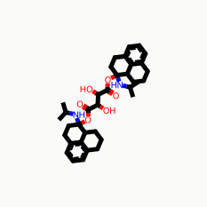 CC(C)NC1(OC(=O)C(O)C(O)C(=O)OC2(NC(C)C)CCc3cccc4c3C2CCC4)CCc2cccc3c2C1CCC3